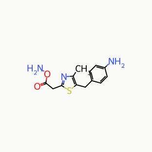 Cc1nc(CC(=O)ON)sc1Cc1ccc(N)cc1